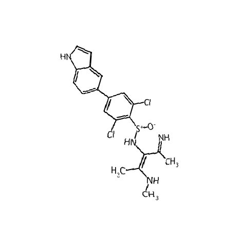 CN/C(C)=C(/N[S+]([O-])c1c(Cl)cc(-c2ccc3[nH]ccc3c2)cc1Cl)C(C)=N